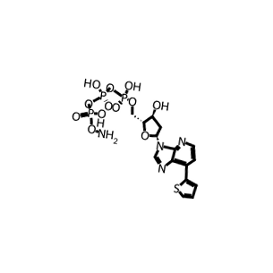 NOP(=O)(O)OP(=O)(O)OP(=O)(O)OC[C@H]1O[C@@H](n2cnc3c(-c4cccs4)ccnc32)C[C@@H]1O